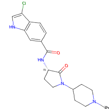 CC(C)N1CCC(N2CC[C@H](NC(=O)c3ccc4c(Cl)c[nH]c4c3)C2=O)CC1